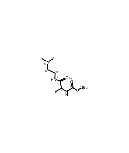 CC(NC(=O)OC(C)(C)C)C(=O)NCCN(C)C